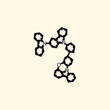 c1cc(-c2ccc3c(c2)Oc2cccc4c5ccccc5n-3c24)cc(-n2c3ccccc3c3cc(-n4c5ccccc5c5ccccc54)ccc32)c1